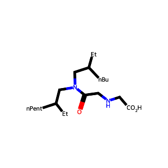 CCCCCC(CC)CN(CC(CC)CCCC)C(=O)CNCC(=O)O